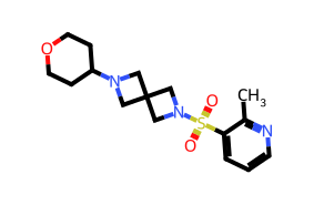 Cc1ncccc1S(=O)(=O)N1CC2(CN(C3CCOCC3)C2)C1